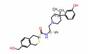 CC(C)[C@@H](CN1CC[C@@](C)(c2cccc(O)c2)[C@@H](C)C1)NC(=O)[C@H]1Cc2ccc(CO)cc2CS1